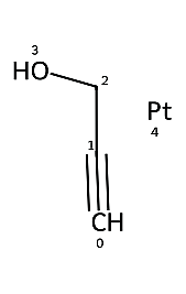 C#CCO.[Pt]